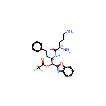 NCCC[C@@H](N)C(=O)N[C@H](CCc1ccccc1)C(OC(=O)C(F)(F)F)c1nc2ccccc2o1